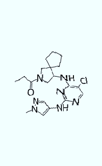 CCC(=O)N1CC(Nc2nc(Nc3cnn(C)c3)ncc2Cl)C2(CCCC2)C1